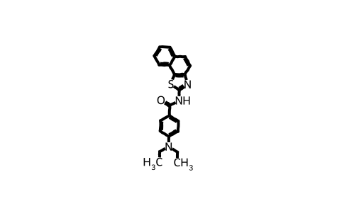 CCN(CC)c1ccc(C(=O)Nc2nc3ccc4ccccc4c3s2)cc1